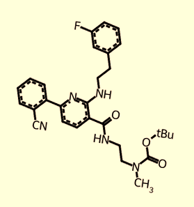 CN(CCNC(=O)c1ccc(-c2ccccc2C#N)nc1NCCc1cccc(F)c1)C(=O)OC(C)(C)C